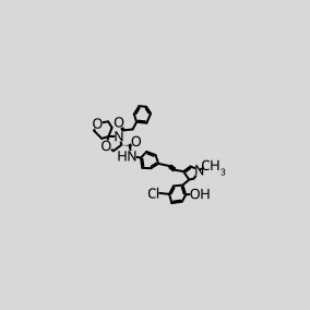 CN1C=C(C#Cc2ccc(NC(=O)[C@@H]3COC4(CCOCC4)N3C(=O)Cc3ccccc3)cc2)C(c2cc(Cl)ccc2O)C1